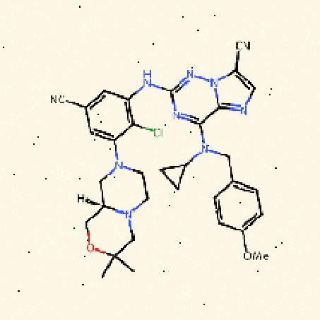 COc1ccc(CN(c2nc(Nc3cc(C#N)cc(N4CCN5CC(C)(C)OC[C@@H]5C4)c3Cl)nn3c(C#N)cnc23)C2CC2)cc1